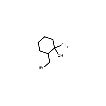 CCC(C)CC1CCCCC1(C)O